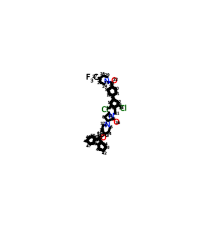 CC(C)(C)[Si](OC1CCN(C2CCN(Cc3c(Cl)cc(-c4ccc(C(=O)N5CCC(C(F)(F)F)CC5)cc4)cc3Cl)C2=O)CC1)(c1ccccc1)c1ccccc1